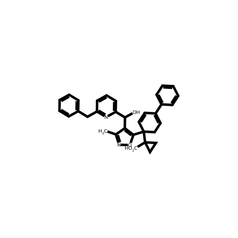 Cc1noc(C2(C3(C(=O)O)CC3)C=CC(c3ccccc3)=CC2)c1C(O)c1cccc(Cc2ccccc2)n1